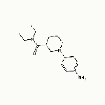 CCN(CC)C(=O)C1CCCN(c2ccc(N)cc2)C1